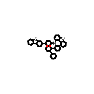 c1ccc(-c2ccccc2-c2ccccc2N(c2ccc(-c3ccc4c(c3)sc3ccccc34)cc2)c2cccc3oc4ccccc4c23)cc1